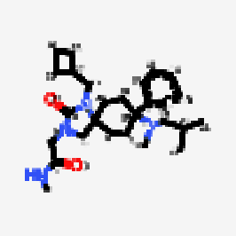 CNC(=O)CN1CC2(CCC(c3ccccc3)(N(C)CC(C)C)CC2)N(CC2CCC2)C1=O